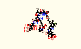 CC[C@@]1(O)C(=O)OCc2c1cc1n(c2=O)Cc2cc3c(CCCCOCNC(=O)[C@H](C)NC(=O)[C@@H](NC(=O)[C@H](CCC(=O)NC[C@H](O)[C@@H](O)[C@H](O)[C@H](O)CO)NC(=O)CCCCC(=O)ON4C(=O)C=CC4=O)C(C)C)c(C)c(F)cc3nc2-1